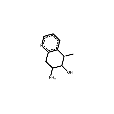 CN1c2cccnc2CC(N)C1O